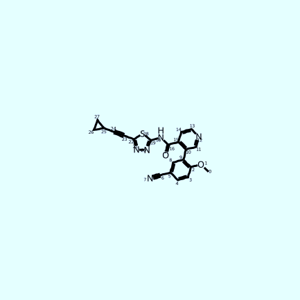 COc1ccc(C#N)cc1-c1cnccc1C(=O)Nc1nnc(C#CC2CC2)s1